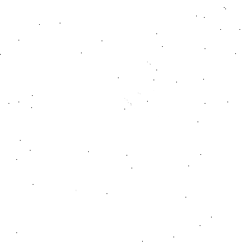 CN1C2CNCC1C(C(=O)O)=C(c1ccc(CCCO)cc1)C2